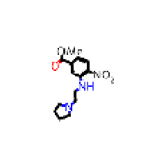 COC(=O)c1ccc([N+](=O)[O-])c(NCCN2CCCC2)c1